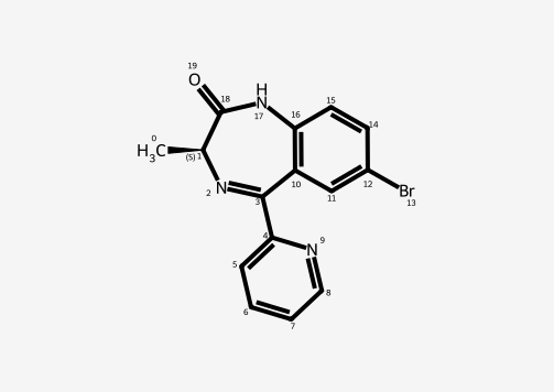 C[C@@H]1N=C(c2ccccn2)c2cc(Br)ccc2NC1=O